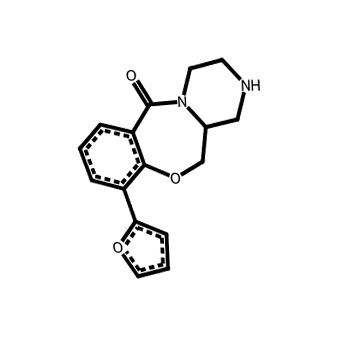 O=C1c2cccc(-c3ccco3)c2OCC2CNCCN12